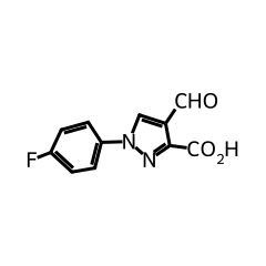 O=Cc1cn(-c2ccc(F)cc2)nc1C(=O)O